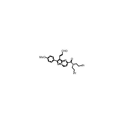 COc1ccc(-c2nn3ccc(C(=O)N(CCC(C)C)CCC(C)C)nc3c2C=CC=O)cc1